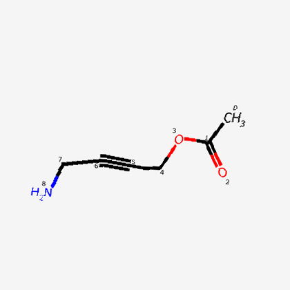 CC(=O)OCC#CCN